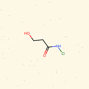 O=C(CCO)NCl